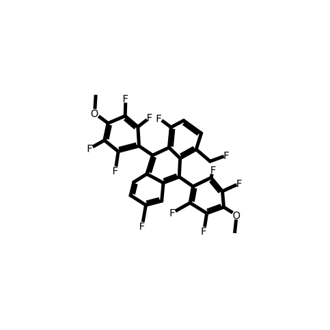 COc1c(F)c(F)c(-c2c3ccc(F)cc3c(-c3c(F)c(F)c(OC)c(F)c3F)c3c(CF)ccc(F)c23)c(F)c1F